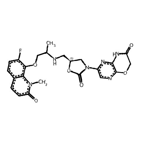 CC(COc1c(F)ccc2ccc(=O)n(C)c12)NC[C@H]1CN(c2cnc3c(n2)NC(=O)CO3)C(=O)O1